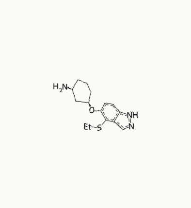 CCSc1c(O[C@@H]2CCC[C@H](N)C2)ccc2[nH]ncc12